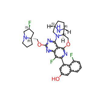 Oc1cc(-c2nc3c4c(nc(OC[C@]56CCCN5C[C@@H](F)C6)nc4c2F)N2C[C@@H]4CC[C@@H](N4)[C@H]2CO3)c2c(F)cccc2c1